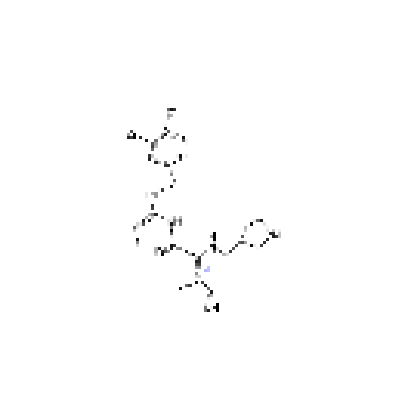 CC=C(NCc1ccc(Cl)c(Cl)c1)NC(=O)/C(NCC1CCNC1)=C(\C)C=N